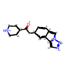 O=C(CC1C=Cc2cn3nncc3c2=C1)C1CCNCC1